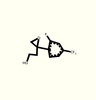 OCCC1(c2ccc(C(F)(F)F)cc2F)CO1